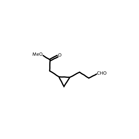 COC(=O)CC1CC1CCC=O